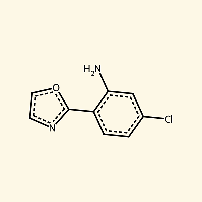 Nc1cc(Cl)ccc1-c1ncco1